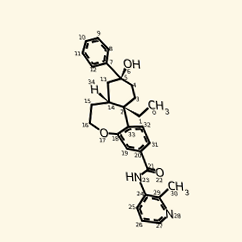 CC[C@]12CC[C@@](O)(c3ccccc3)C[C@H]1CCOc1cc(C(=O)Nc3cccnc3C)ccc12